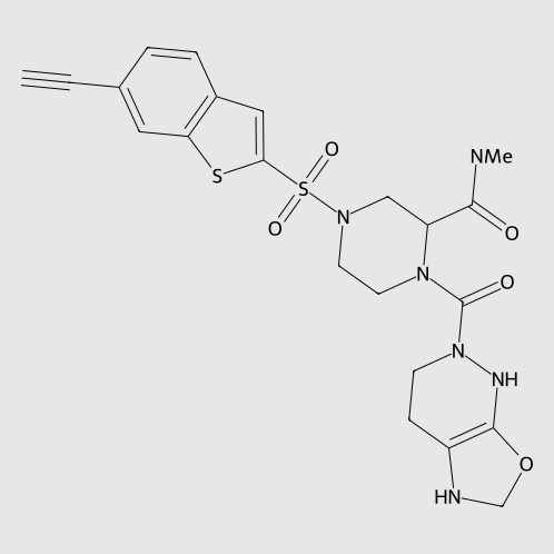 C#Cc1ccc2cc(S(=O)(=O)N3CCN(C(=O)N4CCC5=C(N4)OCN5)C(C(=O)NC)C3)sc2c1